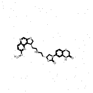 COc1ccc2ncc3c(c2n1)[C@H](CCNCC[C@@H]1CN(c2ccc4c(c2)NC(=O)CS4)C(=O)O1)CO3